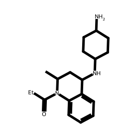 CCC(=O)N1c2ccccc2C(NC2CCC(N)CC2)CC1C